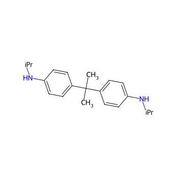 CC(C)Nc1ccc(C(C)(C)c2ccc(NC(C)C)cc2)cc1